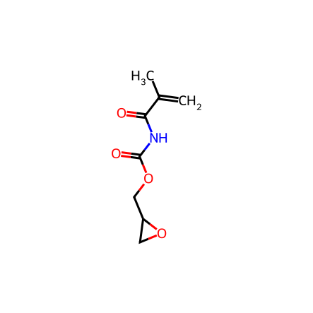 C=C(C)C(=O)NC(=O)OCC1CO1